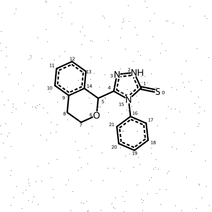 S=c1[nH]nc(C2OCCc3ccccc32)n1-c1ccccc1